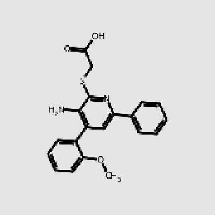 COc1ccccc1-c1cc(-c2ccccc2)nc(SCC(=O)O)c1N